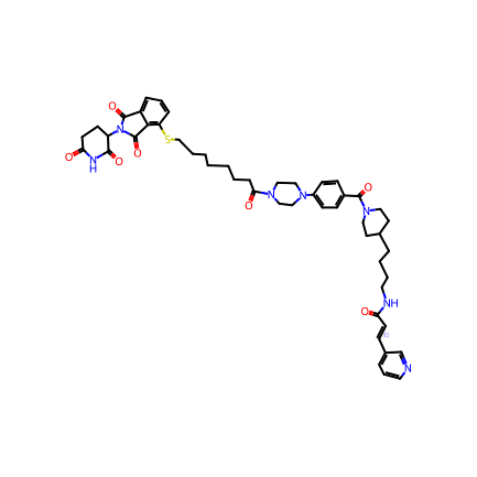 O=C(/C=C/c1cccnc1)NCCCCC1CCN(C(=O)c2ccc(N3CCN(C(=O)CCCCCCCSc4cccc5c4C(=O)N(C4CCC(=O)NC4=O)C5=O)CC3)cc2)CC1